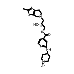 CC(=O)N1CCC(Nc2cc(C(=O)NC[C@H](O)CN3CCc4nc(C)sc4C3)ccn2)CC1